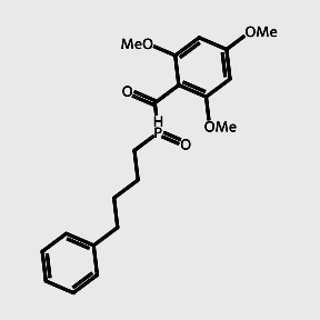 COc1cc(OC)c(C(=O)[PH](=O)CCCCc2ccccc2)c(OC)c1